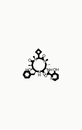 C[C@@H]1[C@H](NC(=O)c2ncccc2O)C(=O)N[C@@H](Cc2ccccc2)[C@@H](O)[C@@H](C)C(=O)N(C)C(C2CCC2)C(=O)N1C